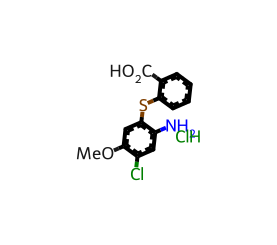 COc1cc(Sc2ccccc2C(=O)O)c(N)cc1Cl.Cl